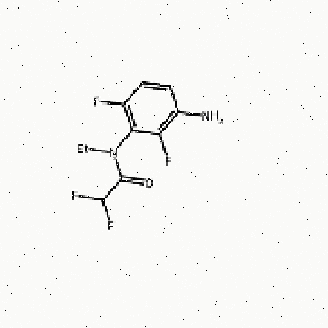 CCN(C(=O)C(F)F)c1c(F)ccc(N)c1F